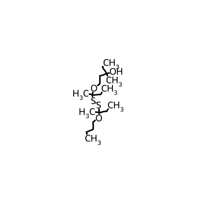 CCCCOC(C)(CC)SSC(C)(CC)OCCC(C)(O)CC